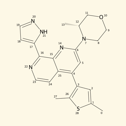 Cc1cc(-c2cc(N3CCOC[C@H]3C)nc3c(-c4ccn[nH]4)nccc23)c(C)s1